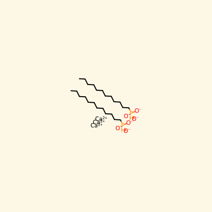 CCCCCCCCCCCC[PH]([O-])([O-])[O-].CCCCCCCCCCCC[PH]([O-])([O-])[O-].[Ca+2].[Ca+2].[Ca+2]